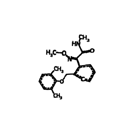 CNC(=O)/C(=N\OC)c1ccccc1COc1c(C)cccc1C